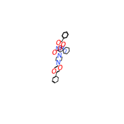 NC(=O)C(N1CCN(C2=COC(C3=CC=CCC3)=CO2)CC1)C1(C(=O)OC(=O)c2ccccc2)CCCCC1